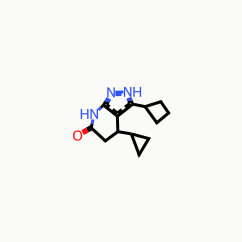 O=C1CC(C2CC2)c2c(n[nH]c2C2CCC2)N1